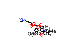 COCN1C(C)=C(C(=O)OC)C(c2cccc([N+](=O)[O-])c2)C(C(=O)OCCOC(=O)CCCCCn2ccnc2)=C1C